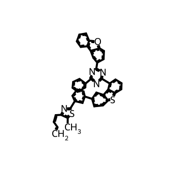 C=C/C=C\c1nc(-c2cccc(-c3ccc4sc5cccc(-c6nc(-c7ccccc7)nc(-c7ccc8oc9ccccc9c8c7)n6)c5c4c3)c2)sc1C